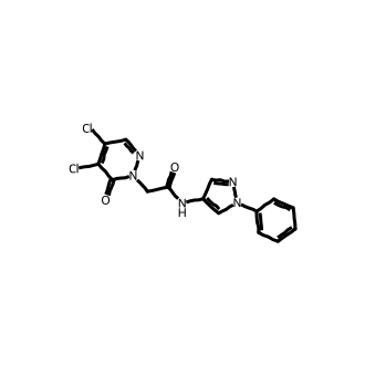 O=C(Cn1ncc(Cl)c(Cl)c1=O)Nc1cnn(-c2ccccc2)c1